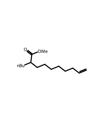 C=CCCCCCCC(CCCC)C(=O)OC